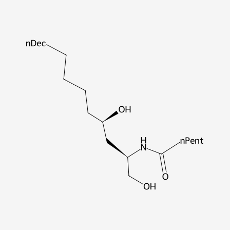 CCCCCCCCCCCCCC[C@@H](O)C[C@H](CO)NC(=O)CCCCC